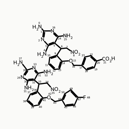 Nc1nc(N)c(C(C[N+](=O)[O-])c2ccccc2OCc2ccc(C(=O)O)cc2)c(N)n1.Nc1nc(N)c(C(C[N+](=O)[O-])c2ccccc2OCc2ccc(F)cc2)c(N)n1